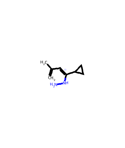 C=C(C)/C=C(\NN)C1CC1